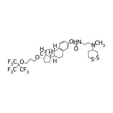 CN(CCNC(=O)Oc1ccc2c(c1)CC[C@@H]1[C@@H]2CC[C@]2(C)[C@@H](OCCCOC(C(F)(F)F)(C(F)(F)F)C(F)(F)F)CC[C@@H]12)C1CCSSC1